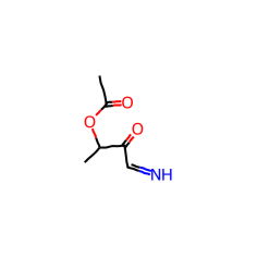 CC(=O)OC(C)C(=O)C=N